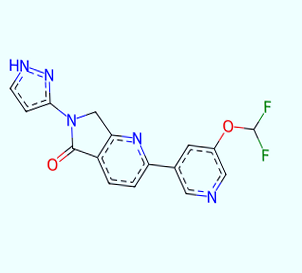 O=C1c2ccc(-c3cncc(OC(F)F)c3)nc2CN1c1cc[nH]n1